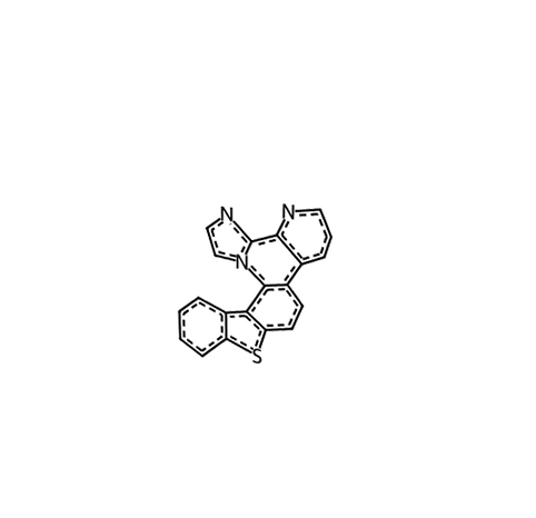 c1ccc2c(c1)sc1ccc3c4cccnc4c4nccn4c3c12